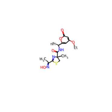 CCCC(NC(=O)C1(C)CSC(/C(C)=N/O)=N1)c1cc(OCC)cc(=O)o1